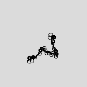 O=C(COCC(=O)OCN1C(=O)CCc2ccc(OCCCCN3CCN(c4cccc(Cl)c4Cl)CC3)cc21)OCN1C(=O)CCc2ccc(OCCCCN3CCN(c4cccc(Cl)c4Cl)CC3)cc21